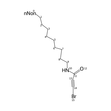 CCCCCCCCCCCCCCCCCCNC(=O)C#CBr